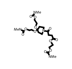 CNC(=O)OCCOC(=O)CCC(=O)N1CCC(OCCOC(=O)NC)(OCCOC(=O)NC)CC1